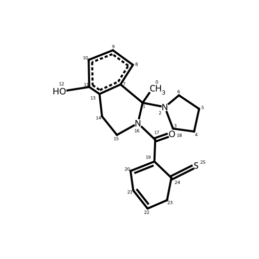 CC1(N2CCCC2)c2cccc(O)c2CCN1C(=O)C1=CC=CCC1=S